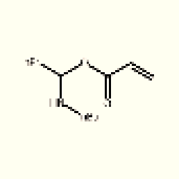 C=CC(=O)OC(CCC)NCCCC